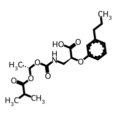 CCCc1cccc(O[C@@H](CNC(=O)O[C@@H](C)OC(=O)C(C)C)C(=O)O)c1